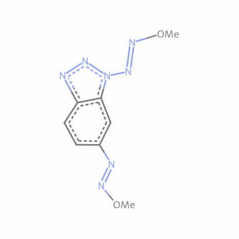 CO/N=N/c1ccc2nnn(/N=N/OC)c2c1